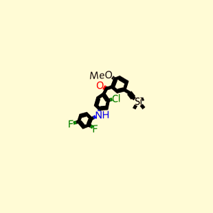 COc1ccc(C#C[Si](C)(C)C)cc1C(=O)c1ccc(Nc2ccc(F)cc2F)cc1Cl